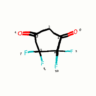 O=C1CC(=O)C(F)(F)C1(F)F